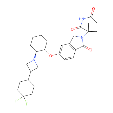 O=C1NC(=O)C2(N3Cc4cc(O[C@H]5CCCC[C@@H]5N5CC(C6CCC(F)(F)CC6)C5)ccc4C3=O)CC1C2